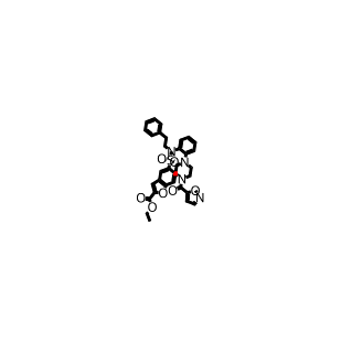 CCOC(=O)c1cc2cc(S(=O)(=O)N(CCc3ccccc3)c3ccccc3N3CCN(C(=O)c4ccno4)CC3)ccc2o1